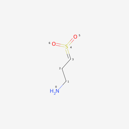 NCCC=S(=O)=O